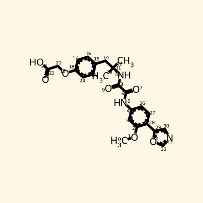 COc1cc(NC(=O)C(=O)NC(C)(C)Cc2ccc(OCC(=O)O)cc2)ccc1-c1cnco1